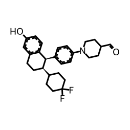 O=CC1CCN(c2ccc([C@@H]3c4ccc(O)cc4CC[C@@H]3C3CCC(F)(F)CC3)cc2)CC1